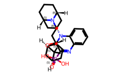 CC1(C)[C@H]2CC[C@@H](CCN3[C@@H]4CCC[C@H]3C[C@@H](n3c(=O)c(P(=O)(O)O)nc5ccccc53)C4)[C@@H]1C2